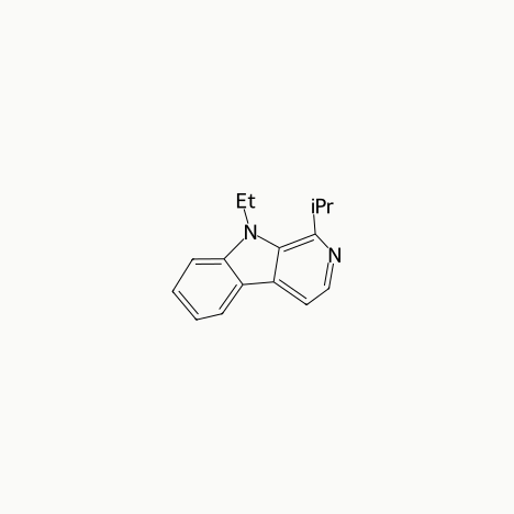 CCn1c2ccccc2c2ccnc(C(C)C)c21